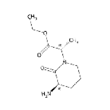 CCOC(=O)[C@H](C)N1CCC[C@@H](N)C1=O